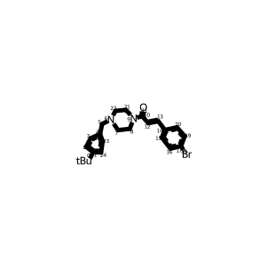 CC(C)(C)c1ccc(CN2CCN(C(=O)C=Cc3ccc(Br)cc3)CC2)cc1